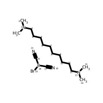 CN(C)CCCCCCCCCCN(C)C.N#CB(Br)C#N